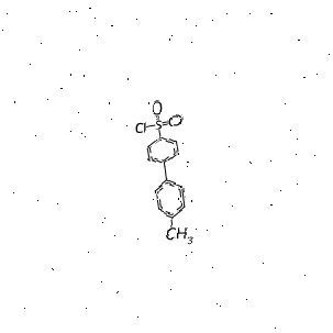 Cc1ccc(-c2ccc(S(=O)(=O)Cl)cc2)cc1